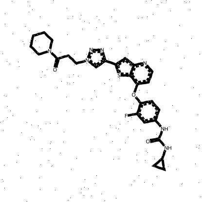 O=C(Nc1ccc(Oc2ccnc3cc(-c4cn(CCC(=O)N5CCCCC5)nn4)sc23)c(F)c1)NC1CC1